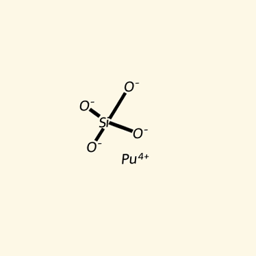 [O-][Si]([O-])([O-])[O-].[Pu+4]